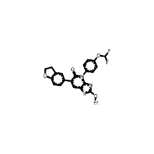 CCOc1nc2c(cc(-c3ccc4c(c3)CCO4)c(=O)n2-c2ccc(OC(F)F)cc2)s1